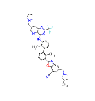 Cc1c(Nc2nc(C(F)(F)F)nc3cc(CN4CCCC4)cnc23)cccc1-c1cccc(-c2nc3cc(CN4CCC(C)C4)cc(C#N)c3o2)c1C